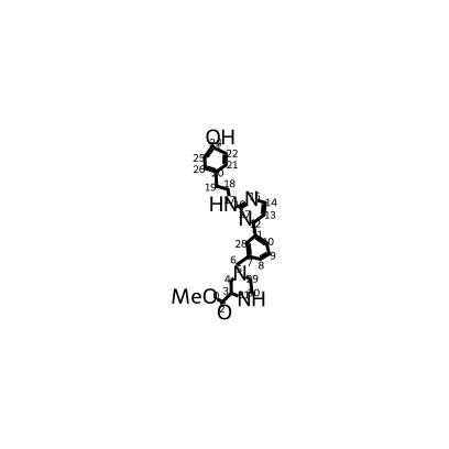 COC(=O)C1CN(Cc2cccc(-c3ccnc(NCCc4ccc(O)cc4)n3)c2)CCN1